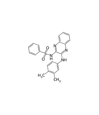 Cc1ccc(Nc2nc3ccccc3nc2NS(=O)(=O)c2ccccc2)cc1C